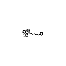 O=C(c1c(Cl)cccc1Cl)[PH](=O)CCCCCCCc1ccccc1